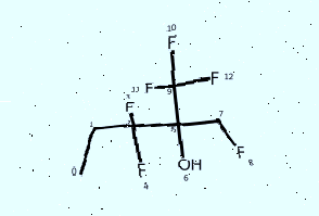 CCC(F)(F)C(O)(CF)C(F)(F)F